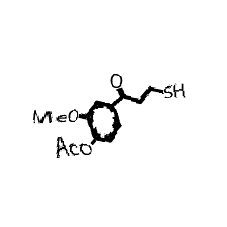 COc1cc(C(=O)CCS)ccc1OC(C)=O